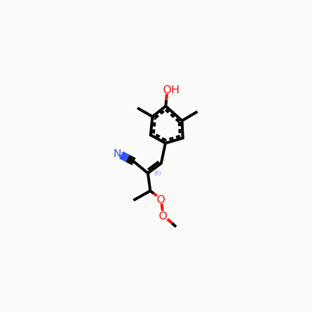 COOC(C)/C(C#N)=C/c1cc(C)c(O)c(C)c1